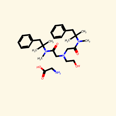 CN(C(=O)CN(CCO)CC(=O)N(C)C(C)(C)Cc1ccccc1)C(C)(C)Cc1ccccc1.NCC(=O)O